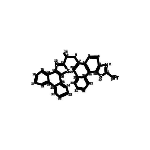 CC(C)c1nc2ccc3c(CC(C)c4nc5c6ccccc6c6ccccc6c5s4)cc4ccccc4c3c2s1